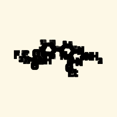 CCOc1nc(N)nc2ccc(-c3cccc(NS(=O)(=O)CC(F)(F)F)c3)nc12